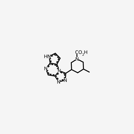 CC1CC(c2nnc3cnc4[nH]ccc4n23)CN(C(=O)O)C1